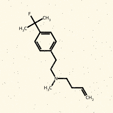 C=CCCN(C)CCc1ccc(C(C)(C)F)cc1